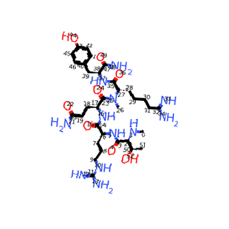 CN[C@H](C(=O)N[C@@H](CCCNC(=N)N)C(=O)N[C@@H](CCC(N)=O)C(=O)N(C)[C@@H](CCCCC(=N)N)C(=O)N[C@@H](Cc1ccc(O)cc1)C(N)=O)[C@@H](C)O